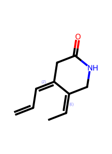 C=C/C=C1/CC(=O)NC/C1=C/C